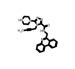 CC#CCn1c(C(=O)NCc2nc3ccccc3c3ccccc23)nnc1N1CCNCC1